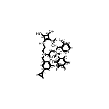 CN(C)C1=C(NCCN(Cc2cc(C3CC3)cc(C(C)(C)C)c2)C(=O)CN(Cc2cnccc2C(F)(F)F)S(=O)(=O)c2c(F)c(F)c(F)c(F)c2F)C(O)C1O